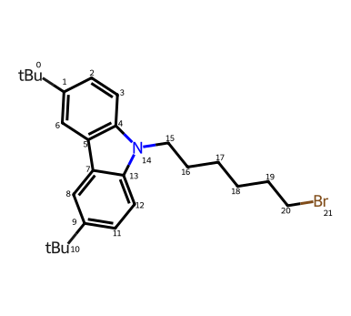 CC(C)(C)c1ccc2c(c1)c1cc(C(C)(C)C)ccc1n2CCCCCCBr